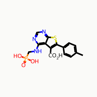 Cc1ccc(-c2sc3ncnc(NCP(=O)(O)O)c3c2C(=O)O)cc1